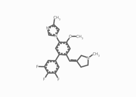 COc1cc(/C=C2/CCN(C)C2)c(-c2cc(F)c(F)c(F)c2)cc1-n1cnc(C)c1